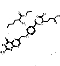 CCCCC(N)C(=O)OCC.Nc1nc2ncc(CNc3ccc(C(=O)NC(CCC(=O)O)C(=O)O)cc3)nc2c(=O)[nH]1